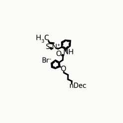 CCCCCCCCCCCCCCOc1ccccc1CC(=O)Nc1ccccc1C[n+]1csc(C)c1.[Br-]